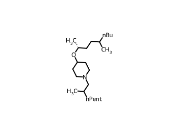 CCCCCC(C)CN1CCC(O[C@H](C)CCC(C)CCCC)CC1